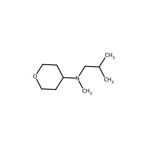 CC(C)CN(C)C1CCOCC1